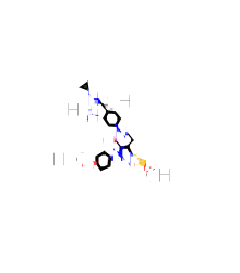 COOSc1nn(-c2ccc(OC)cc2)c2c1CCN(c1ccc(C(C)(C)CNC3CC3)cc1)C2=O